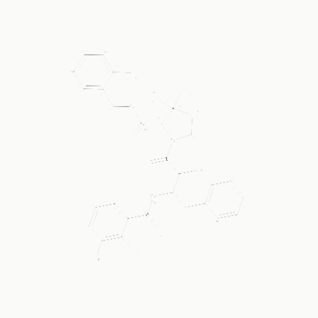 Cc1c(O)cccc1C(=O)NC(Cc1ccccc1)C(O)C(=O)N1CSC(C)(C)[C@H]1C(=O)NCc1ccccc1Cl